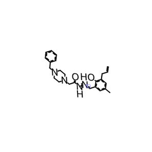 C=CCc1cc(C)cc(/C=N/NC(=O)CN2CCN(Cc3ccccc3)CC2)c1O